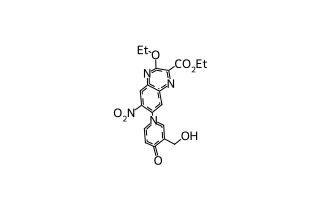 CCOC(=O)c1nc2cc(-n3ccc(=O)c(CO)c3)c([N+](=O)[O-])cc2nc1OCC